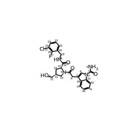 NC(=O)n1cc(CC(=O)N2C[C@@H](CO)C[C@H]2C(=O)NCc2cccc(Cl)c2F)c2ccccc21